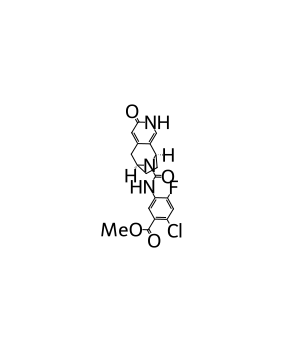 COC(=O)c1cc(NC(=O)N2[C@H]3CC[C@@H]2c2c[nH]c(=O)cc2C3)c(F)cc1Cl